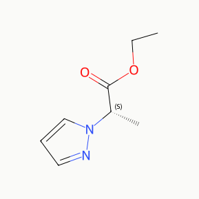 CCOC(=O)[C@H](C)n1cccn1